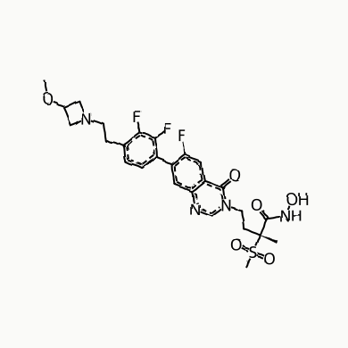 COC1CN(CCc2ccc(-c3cc4ncn(CC[C@](C)(C(=O)NO)S(C)(=O)=O)c(=O)c4cc3F)c(F)c2F)C1